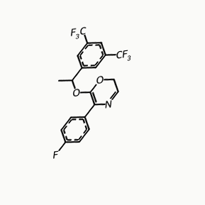 CC(OC1=C(c2ccc(F)cc2)N=CCO1)c1cc(C(F)(F)F)cc(C(F)(F)F)c1